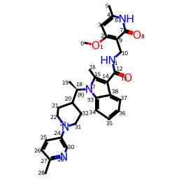 COc1cc(C)[nH]c(=O)c1CNC(=O)c1c(C)n([C@H](C)C2CCN(c3ccc(C)nc3)CC2)c2ccccc12